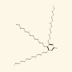 [CH2]c1cc(CCCCCCCCCCCCC)c(CCCCCCCCCCCCC)c(CCCCCCCCCCCCC)c1